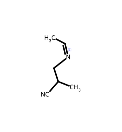 C/C=N\CC(C)C#N